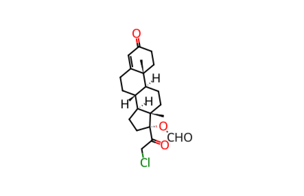 C[C@]12CCC(=O)C=C1CC[C@@H]1[C@@H]2CC[C@@]2(C)[C@H]1CC[C@]2(OC=O)C(=O)CCl